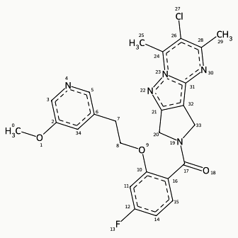 COc1cncc(CCOc2cc(F)ccc2C(=O)N2Cc3nn4c(C)c(Cl)c(C)nc4c3C2)c1